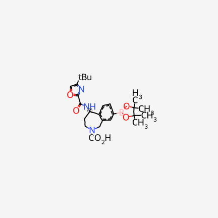 CC(C)(C)c1coc(C(=O)N[C@@H]2CCN(C(=O)O)Cc3cc(B4OC(C)(C)C(C)(C)O4)ccc32)n1